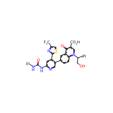 CCNC(=O)Nc1cc(-c2nc(C(F)(F)F)cs2)c(-c2ccc3c(c2)c(=O)c(C(=O)O)cn3C(CO)C(C)C)cn1